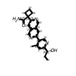 CC[C@@H](O)c1cc(C)c(-c2cc3cnc(C4(C(N)=O)CCC4)cc3cn2)cn1